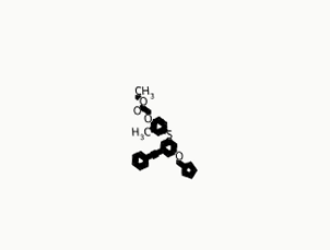 CCOC(=O)COc1ccc(Sc2cc(C#Cc3ccccc3)cc(OCC3CCCC3)c2)cc1C